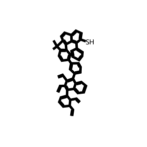 C=Cc1c(C=C)c(-c2cccc(-c3ccc4c(c3)-c3c(ccc5ccc(S)c(-c6ccccc6)c35)C4(C)C)c2)c2ccccc2c1C1=CC=CC(C=C)C1C=C